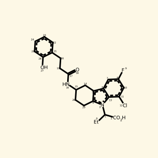 CCC(C(=O)O)n1c2c(c3cc(F)cc(Cl)c31)CC(NC(=O)CCc1ccccc1O)CC2